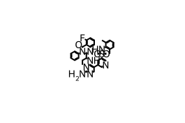 CCC(Nc1nc(N)ncc1-c1cncc(S(=O)(=O)Nc2c(C)cccc2C)c1)c1nc2cccc(F)c2c(=O)n1-c1ccccc1